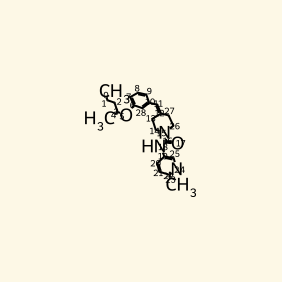 CCCC(C)Oc1cccc(C=C2CCN(C(=O)Nc3ccc(C)nc3)CC2)c1